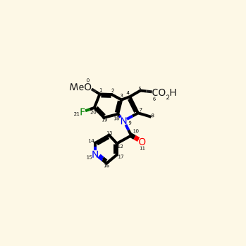 COc1cc2c(CC(=O)O)c(C)n(C(=O)c3ccncc3)c2cc1F